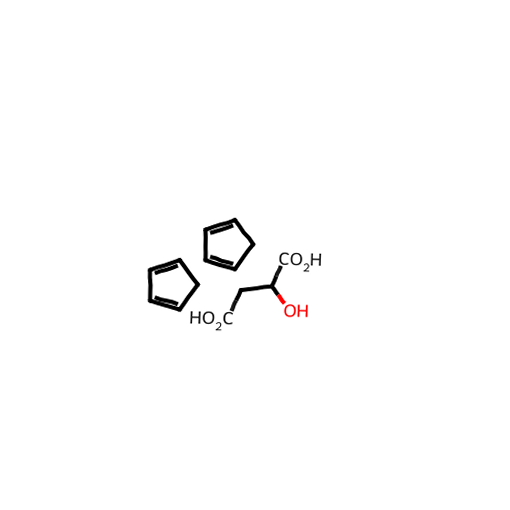 C1=CCC=C1.C1=CCC=C1.O=C(O)CC(O)C(=O)O